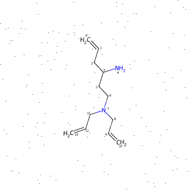 C=CCC(N)CCN(CC=C)CC=C